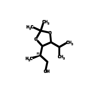 CC(C)C1OC(C)(C)OC1[C@H](C)CO